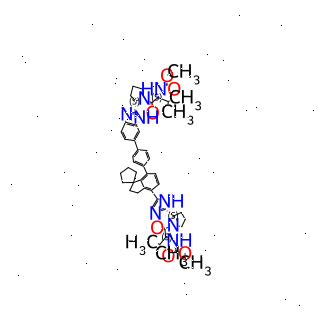 COC(=O)N[C@H](C(=O)N1CCC[C@H]1c1ncc(-c2ccc(-c3ccc(-c4ccc5nc([C@@H]6CCCN6C(=O)[C@@H](NC(=O)OC)C(C)C)[nH]c5c4)cc3)c3c2CCC32CCCC2)[nH]1)C(C)C